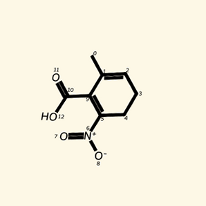 CC1=CCCC([N+](=O)[O-])=C1C(=O)O